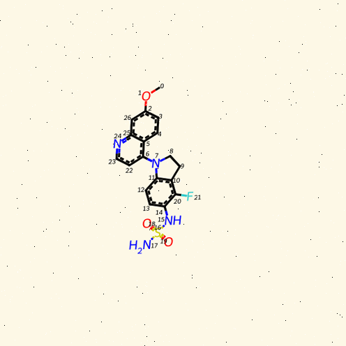 COc1ccc2c(N3CCc4c3ccc(NS(N)(=O)=O)c4F)ccnc2c1